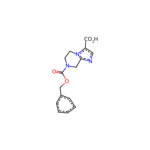 O=C(O)c1cnc2n1CCN(C(=O)OCc1ccccc1)C2